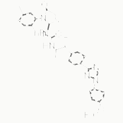 CCCc1ccc(C)cc1N1C(=O)CS/C1=N\C(=O)NC(C)C(F)c1ccc(-c2ncn(-c3ccc(OC(F)(F)F)cc3)n2)cc1